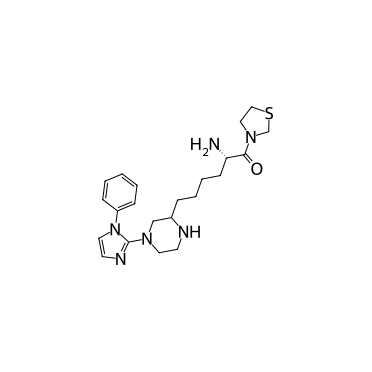 N[C@@H](CCCCC1CN(c2nccn2-c2ccccc2)CCN1)C(=O)N1CCSC1